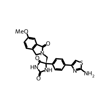 COc1ccc2c(c1)C(=O)N(C[C@@]1(c3ccc(-c4csc(N)n4)cc3)NC(=O)NC1=O)C2